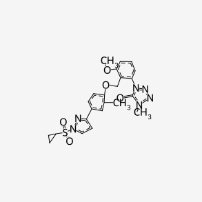 COc1cccc(-n2nnn(C)c2=O)c1COc1ccc(-c2ccn(S(=O)(=O)C3CC3)n2)cc1C